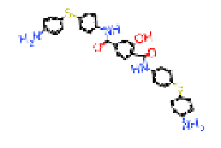 Nc1ccc(Sc2ccc(NC(=O)c3ccc(C(=O)Nc4ccc(Sc5ccc(N)cc5)cc4)c(O)c3)cc2)cc1